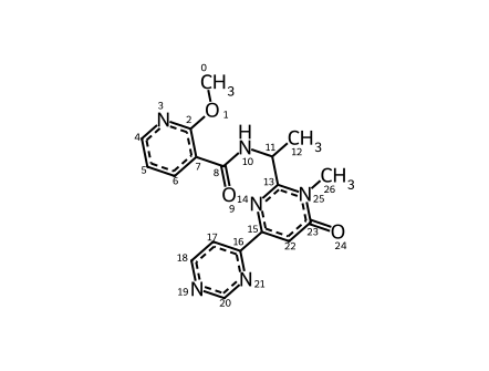 COc1ncccc1C(=O)NC(C)c1nc(-c2ccncn2)cc(=O)n1C